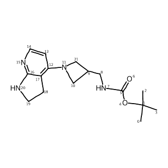 CC(C)(C)OC(=O)NCC1CN(c2ccnc3c2CCN3)C1